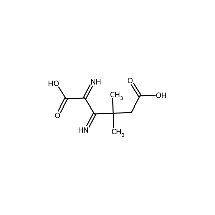 CC(C)(CC(=O)O)C(=N)C(=N)C(=O)O